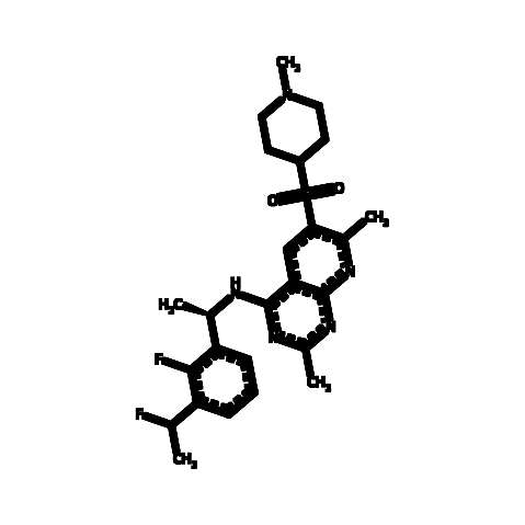 Cc1nc(N[C@H](C)c2cccc(C(C)F)c2F)c2cc(S(=O)(=O)C3CCN(C)CC3)c(C)nc2n1